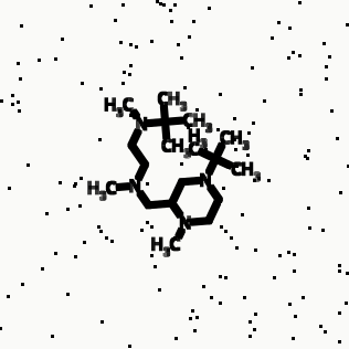 CN(CCN(C)C(C)(C)C)CC1CN(C(C)(C)C)CCN1C